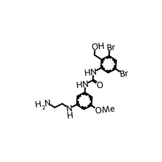 COc1cc(NCCN)cc(NC(=O)Nc2cc(Br)cc(Br)c2CO)c1